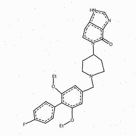 CCOc1cc(CN2CCC(n3ccc4[nH]cnc4c3=O)CC2)cc(OCC)c1-c1ccc(F)cc1